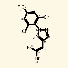 FC(F)(F)c1cc(Cl)c(-n2ncc(C=C(Br)Br)n2)c(Cl)c1